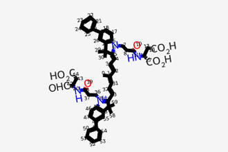 CC(/C=C/C=C1/N(CCC(=O)NC(CC(=O)O)C(=O)O)c2ccc(-c3ccccc3)cc2C1(C)C)=C\C=C\C1=[N+](CCC(=O)NC(C=O)CC(=O)O)c2ccc(-c3ccccc3)cc2C1(C)C